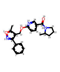 Cc1onc(-c2ccccc2)c1COc1ccc(C(=O)N2CCCC2C)cn1